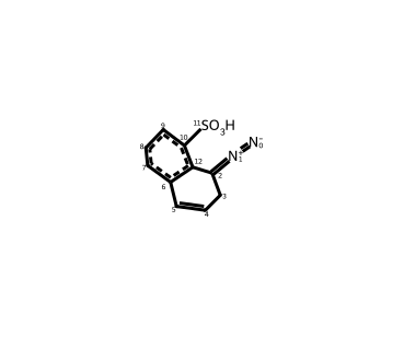 [N-]=[N+]=C1CC=Cc2cccc(S(=O)(=O)O)c21